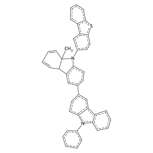 CC12C=CC=CC1c1cc(-c3ccc4c(c3)c3ccccc3n4-c3ccccc3)ccc1N2c1ccc2sc3ccccc3c2c1